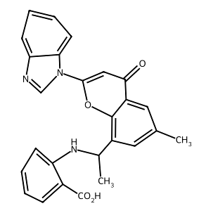 Cc1cc(C(C)Nc2ccccc2C(=O)O)c2oc(-n3cnc4ccccc43)cc(=O)c2c1